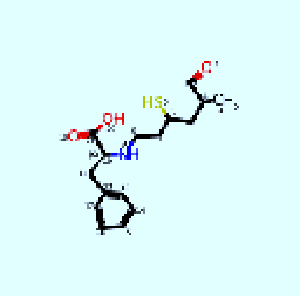 CC(C=O)CC(S)CCN[C@@H](Cc1ccccc1)C(=O)O